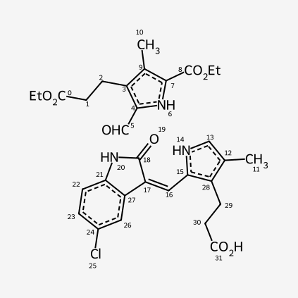 CCOC(=O)CCc1c(C=O)[nH]c(C(=O)OCC)c1C.Cc1c[nH]c(/C=C2\C(=O)Nc3ccc(Cl)cc32)c1CCC(=O)O